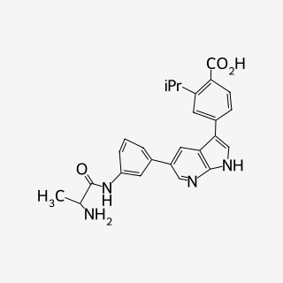 CC(N)C(=O)Nc1cccc(-c2cnc3[nH]cc(-c4ccc(C(=O)O)c(C(C)C)c4)c3c2)c1